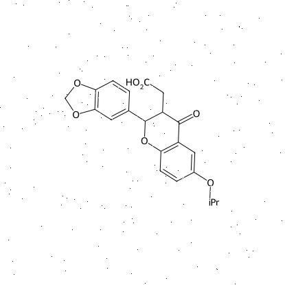 CC(C)Oc1ccc2c(c1)C(=O)C(CC(=O)O)C(c1ccc3c(c1)OCO3)O2